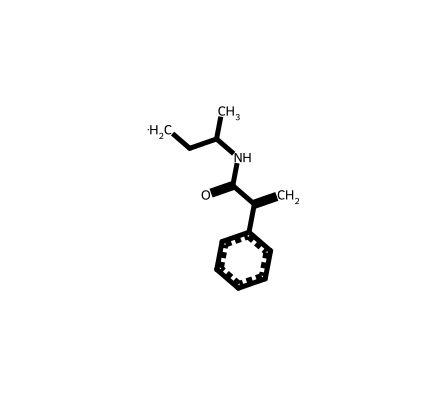 [CH2]CC(C)NC(=O)C(=C)c1ccccc1